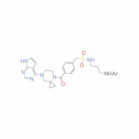 CC(=O)NCCCNS(=O)(=O)Cc1ccc(C(=O)N2CCN(c3ncnc4[nH]ccc34)CC23CC3)cc1